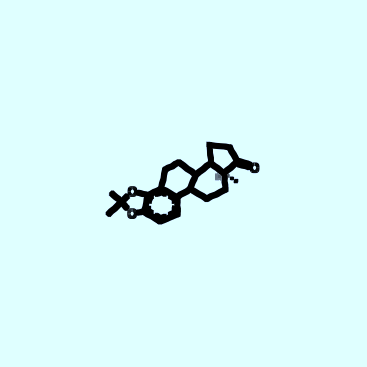 CC1(C)Oc2ccc3c(c2O1)CCC1C3CC[C@]2(C)C(=O)CCC12